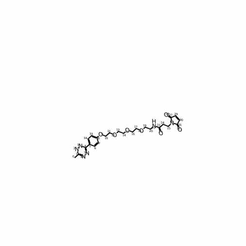 Cc1nnc(-c2ccc(OCCOCCOCCOCCNC(=O)CCN3C(=O)C=CC3=O)cc2)nn1